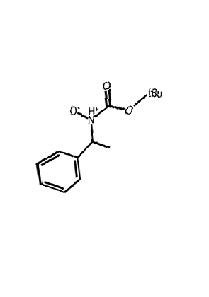 CC(c1ccccc1)[NH+]([O-])C(=O)OC(C)(C)C